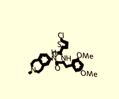 COc1cc(CC(NC(=O)c2ccc(Cl)s2)C(=O)Nc2ccc3c(c2)CCN(C)CC3)cc(OC)c1